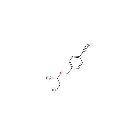 C#Cc1ccc(CO[C@@H](C)CC)cc1